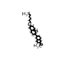 CCCCCCO[C@@H]1CC[C@@H]2CC(C3CCc4cc(OC)ccc4C3)CCC2C1